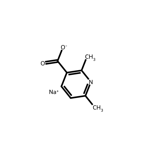 Cc1ccc(C(=O)[O-])c(C)n1.[Na+]